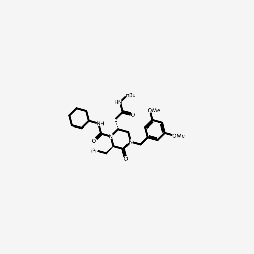 CCCCNC(=O)C[C@@H]1CN(Cc2cc(OC)cc(OC)c2)C(=O)[C@@H](CC(C)C)N1C(=O)NC1CCCCC1